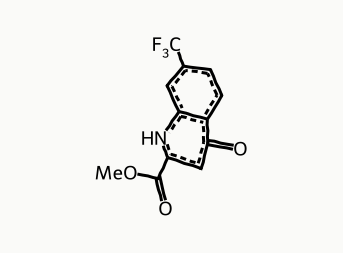 COC(=O)c1cc(=O)c2ccc(C(F)(F)F)cc2[nH]1